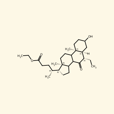 CCOC(=O)CC[C@@H](C)[C@H]1CCC2C3C(=O)[C@@H](CC)[C@@H]4CC(O)CC[C@]4(C)C3CC[C@@]21C